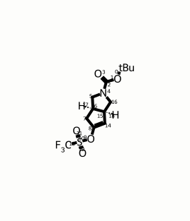 CC(C)(C)OC(=O)N1C[C@@H]2CC(OS(=O)(=O)C(F)(F)F)=C[C@@H]2C1